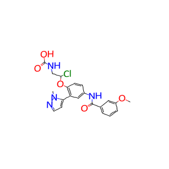 COc1cccc(C(=O)Nc2ccc(OC(Cl)CNC(=O)O)c(-c3ccnn3C)c2)c1